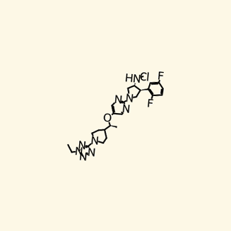 CCn1nnc(N2CCC([C@H](C)Oc3cnc(N4C[C@H](NCl)[C@@H](c5cc(F)ccc5F)C4)nc3)CC2)n1